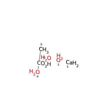 CC(=O)O.O.O.O.[CaH2]